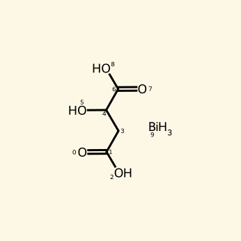 O=C(O)CC(O)C(=O)O.[BiH3]